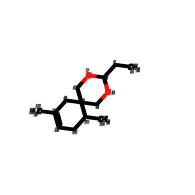 CCC1OCC2(CO1)CC(C)=CCC2C